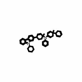 CC1(C2C=CC=CC2)C=CC(N(c2ccccc2)C2(C)C=CC(c3ccc4c5ccccc5n(C5CCCCC5)c4c3)CC2)=CC1